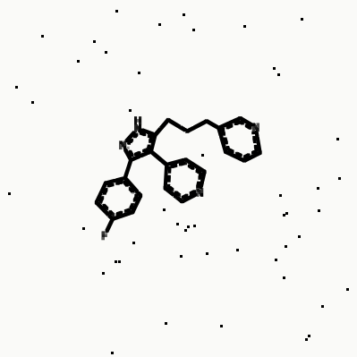 Fc1ccc(-c2n[nH]c(CCCc3cccnc3)c2-c2ccncc2)cc1